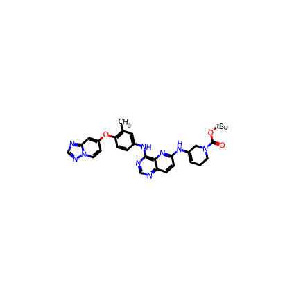 Cc1cc(Nc2ncnc3ccc(NC4=CCCN(C(=O)OC(C)(C)C)C4)nc23)ccc1Oc1ccn2ncnc2c1